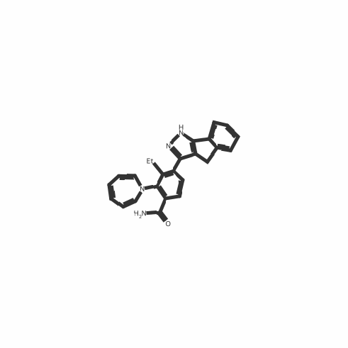 CCc1c(-c2n[nH]c3c2Cc2ccccc2-3)ccc(C(N)=O)c1N1C=CC=CC=C1